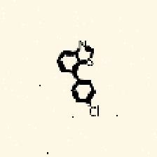 Clc1ccc(-c2cccc3ncsc23)cc1